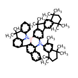 Cc1cc2c(cc1N1c3cc4c(cc3B3c5c(cc6ccccc6c51)-c1cccc5c1N3c1ccccc1C5(C)C)C(C)(C)c1cc3c(cc1-4)C(C)(C)CCC3(C)C)C(C)(C)CCC2(C)C